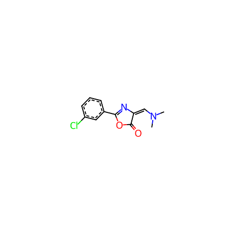 CN(C)C=C1N=C(c2cccc(Cl)c2)OC1=O